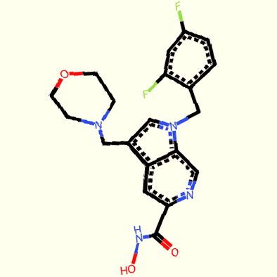 O=C(NO)c1cc2c(CN3CCOCC3)cn(Cc3ccc(F)cc3F)c2cn1